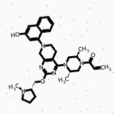 C=CC(=O)N1C[C@H](C)N(c2nc(OC[C@@H]3CCCN3C)nc3c2CCN(c2cc(O)cc4ccccc24)C3)C[C@H]1C